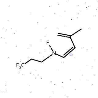 C=C(C)/C=C\N(F)CCC(F)(F)F